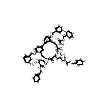 C[C@H](NC(=O)[C@@H]1Cc2cc(ccc2OCc2ccccc2)-c2ccc(OCc3ccccc3)c(c2)C[C@H](NC(=O)OCc2ccccc2)C(=O)N[C@@H](C[C@@H](O)CNC(=O)OCc2ccccc2)C(=O)N1)C(=O)OCc1ccccc1